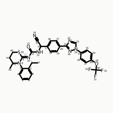 CCc1ccccc1N1/C(=N/C(=O)NC(C#N)c2ccc(-c3ncn(-c4ccc(OC(F)(F)F)cc4)n3)cc2)SCCC1C